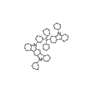 c1ccc(-n2c3ccccc3c3ccc(S(c4ccccc4)(c4ccccc4)c4cccc(-n5c6ccccc6c6cc7c(cc65)c5ccccc5n7-c5ccccc5)c4)cc32)cc1